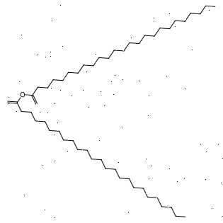 C=C(CCCCCCCCCCCCCCCCCCCCCCCC)OC(=C)CCCCCCCCCCCCCCCCCCCCCCCC